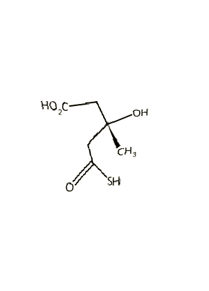 C[C@](O)(CC(=O)O)CC(=O)S